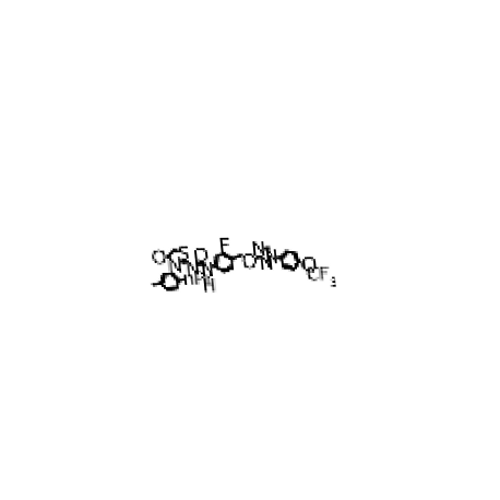 CCCc1ccc(C)cc1N1C(=O)CS/C1=N\C(=O)Nc1ccc(COc2ncn(-c3ccc(OC(F)(F)F)cc3)n2)c(F)c1